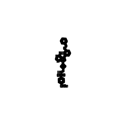 COc1ccc(S(=O)(=O)NCC2CC(n3cc(-c4cccc(OCc5ccccc5)c4)c4c(N)ncnc43)C2)cc1